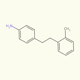 Cc1ccccc1CCc1ccc(N)cc1